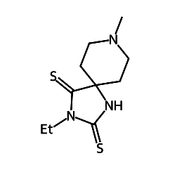 CCN1C(=S)NC2(CCN(C)CC2)C1=S